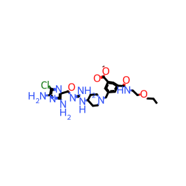 CCCOCCNC(=O)c1cc(CN2CCC(N/C(N)=N/C(=O)c3nc(Cl)c(N)nc3N)CC2)cc(C(=O)OC)c1